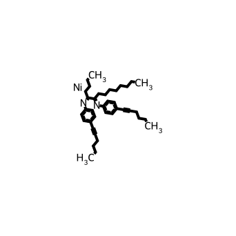 CCCCC#Cc1ccc(N=C(CCCC)C(CCCCCCCC)=Nc2ccc(C#CCCCC)cc2)cc1.[Ni]